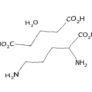 NCCCC(N)C(=O)O.O.O=C(O)CCCC(=O)O